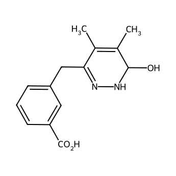 CC1=C(C)C(O)NN=C1Cc1cccc(C(=O)O)c1